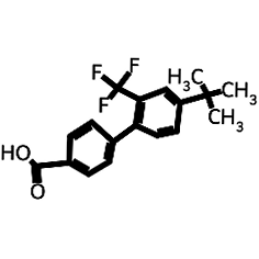 CC(C)(C)c1ccc(-c2ccc(C(=O)O)cc2)c(C(F)(F)F)c1